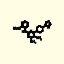 COc1ncccc1Nc1nc(N)c(N)c(C2CCC(n3cncn3)CC2)n1